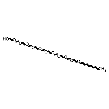 CCCCCCCCCCOCCOCCOCCOCCOCCOCCOCCOCCOCCOCCOCCO